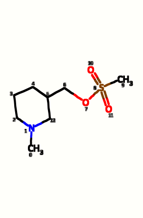 CN1CCCC(COS(C)(=O)=O)C1